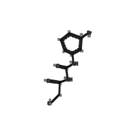 O=C(CCl)NC(=O)Nc1cccc(Br)c1